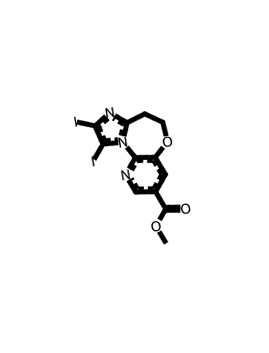 COC(=O)c1cnc2c(c1)OCCc1nc(I)c(I)n1-2